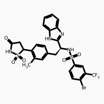 Cc1cc(C[C@H](NS(=O)(=O)c2ccc(Br)c(C(F)(F)F)c2)c2nc3ccccc3[nH]2)ccc1C1CC(=O)NS1(=O)=O